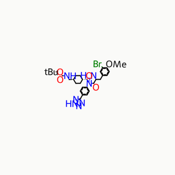 COc1ccc(C[C@H](N)C(=O)N(c2ccc(-c3nn[nH]n3)cc2)C(=O)[C@H]2CC[C@H](CNC(=O)OC(C)(C)C)CC2)cc1Br